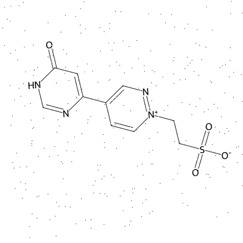 O=c1cc(-c2cc[n+](CCS(=O)(=O)[O-])nc2)nc[nH]1